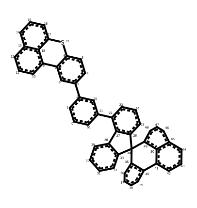 c1cc(-c2ccc3c(c2)-c2cccc4cccc(c24)S3)cc(-c2cccc3c2-c2ccccc2C32c3ccccc3-c3cccc4cccc2c34)c1